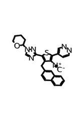 [C-]#[N+]c1c(-c2ccnnc2)sc(-c2ncn(C3CCCCO3)n2)c1Cc1ccc2ccccc2c1